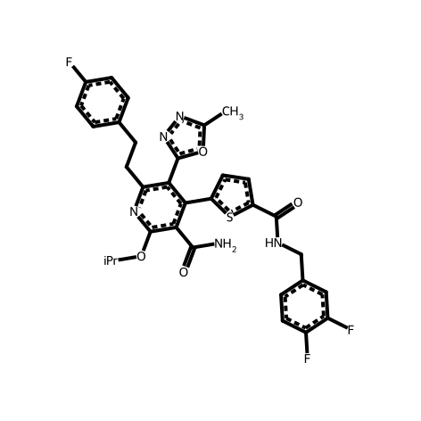 Cc1nnc(-c2c(CCc3ccc(F)cc3)nc(OC(C)C)c(C(N)=O)c2-c2ccc(C(=O)NCc3ccc(F)c(F)c3)s2)o1